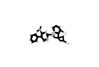 CN(C)c1nc(NCC2(c3ncccc3F)CC(F)C2)ncc1-c1ccccc1